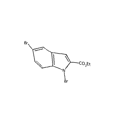 CCOC(=O)c1cc2cc(Br)ccc2n1Br